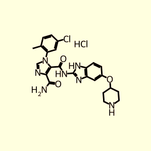 Cc1ccc(Cl)cc1-n1cnc(C(N)=O)c1C(=O)Nc1nc2cc(OC3CCNCC3)ccc2[nH]1.Cl